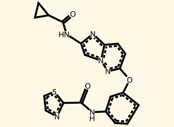 O=C(Nc1cccc(Oc2ccc3nc(NC(=O)C4CC4)cn3n2)c1)c1nccs1